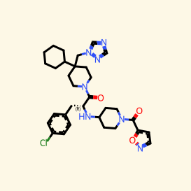 O=C(c1ccno1)N1CCC(N[C@H](Cc2ccc(Cl)cc2)C(=O)N2CCC(Cn3cncn3)(C3CCCCC3)CC2)CC1